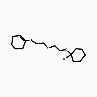 OC1(OCCOCCOC2=CCCCC2)CCCCC1